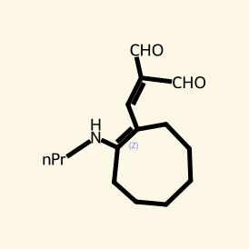 CCCN/C1=C(\C=C(C=O)C=O)CCCCCC1